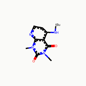 Cn1c(=O)c2c(NC(C)(C)C)ccnc2n(C)c1=O